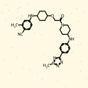 Cc1cc(NC2CCC(OCC(=O)N3CCC(Nc4ccc(-c5nnn(C)n5)cc4)CC3)CC2)ccc1C#N